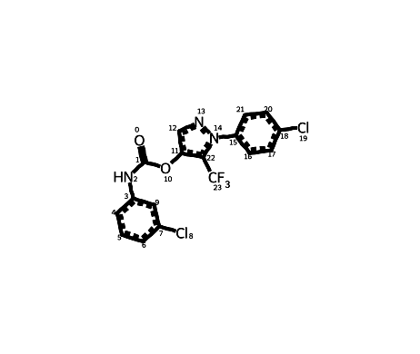 O=C(Nc1cccc(Cl)c1)Oc1cnn(-c2ccc(Cl)cc2)c1C(F)(F)F